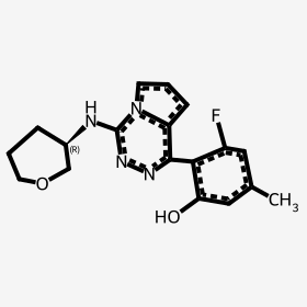 Cc1cc(O)c(-c2nnc(N[C@@H]3CCCOC3)n3cccc23)c(F)c1